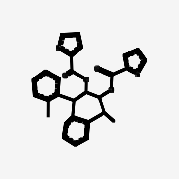 Cc1ccccc1C1c2ccccc2C(C)C(OC(=O)c2cccs2)C1OC(=O)c1cccs1